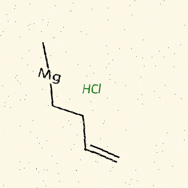 C=CC[CH2][Mg][CH3].Cl